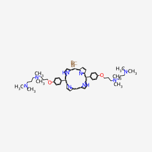 CN(C)CCC[N+](C)(C)CCCOc1ccc(-c2c3nc(cc4ccc([nH]4)c(-c4ccc(OCCC[N+](C)(C)CCCN(C)C)cc4)c4nc(cc5ccc2[nH]5)C=C4)C=C3)cc1.[Br-].[Br-]